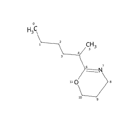 CCCCC(C)C1=NCCCO1